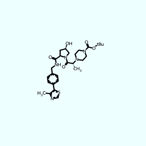 Cc1ncsc1-c1ccc(CNC(=O)C2C[C@@H](O)CN2C(=O)[C@@H](C)N2CCN(C(=O)OC(C)(C)C)CC2)cc1